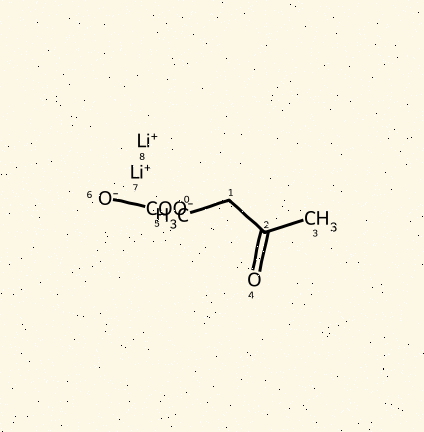 CCC(C)=O.O=C([O-])[O-].[Li+].[Li+]